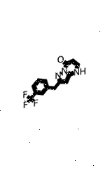 O=c1cc[nH]c2cc(Cc3cccc(C(F)(F)F)c3)nn12